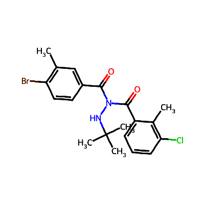 Cc1cc(C(=O)N(NC(C)(C)C)C(=O)c2cccc(Cl)c2C)ccc1Br